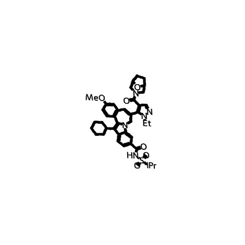 CCn1ncc(C(=O)N2CC3CCC(C2)O3)c1C1=Cc2cc(OC)ccc2-c2c(C3CCCCC3)c3ccc(C(=O)NS(=O)(=O)C(C)C)cc3n2C1